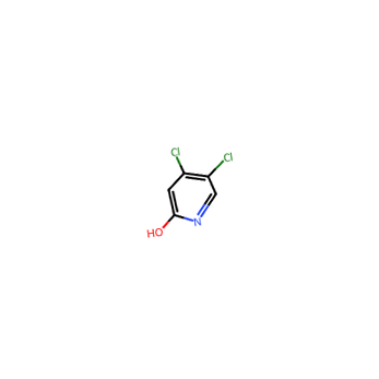 Oc1cc(Cl)c(Cl)cn1